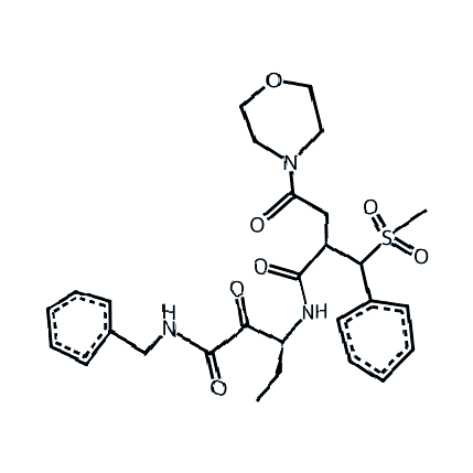 CC[C@H](NC(=O)C(CC(=O)N1CCOCC1)C(c1ccccc1)S(C)(=O)=O)C(=O)C(=O)NCc1ccccc1